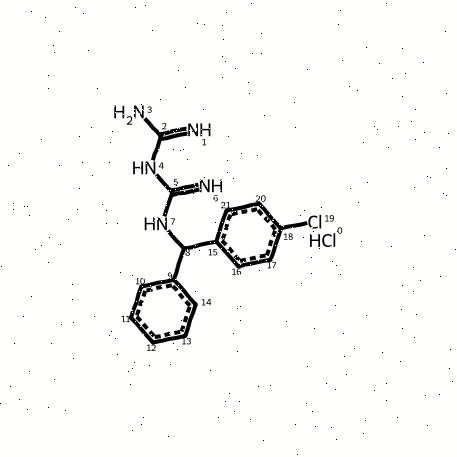 Cl.N=C(N)NC(=N)NC(c1ccccc1)c1ccc(Cl)cc1